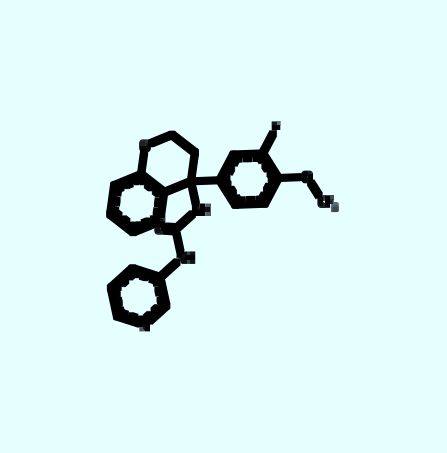 O=C(Nc1cccnc1)NC1(c2ccc(OC(F)(F)F)c(F)c2)CCOc2cccnc21